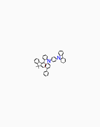 CC1(C)c2ccccc2-c2c(-c3ccccc3N(c3ccc(-c4ccccc4)cc3)c3ccc(-n4c5c(c6ccccc64)C=CCC5)cc3)cccc21